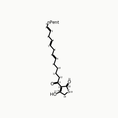 CCCCCC=CCC=CCC=CCCCCC(=O)C1=C(O)CSC1=O